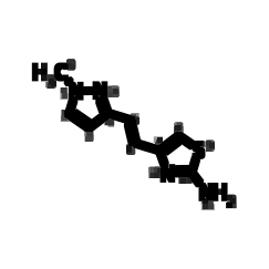 Cn1ccc(/C=C/c2csc(N)n2)n1